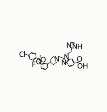 CC1(c2ccc(Cl)cc2F)Oc2cccc(C3CCN(Cc4nc5ccc(C(=O)O)cc5n4CCc4ncc[nH]4)CC3)c2O1